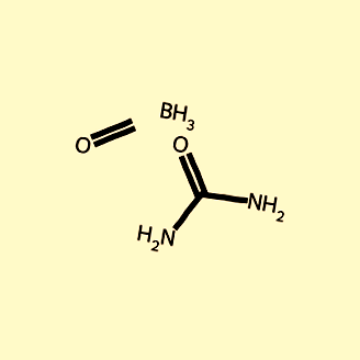 B.C=O.NC(N)=O